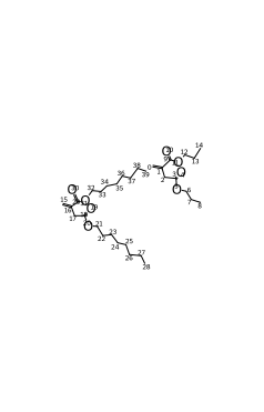 C=C(CC(=O)OCCC)C(=O)OCCC.C=C(CC(=O)OCCCCCCCC)C(=O)OCCCCCCCC